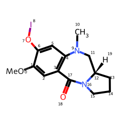 COc1cc2c(cc1OI)N(C)C[C@@H]1CCCN1C2=O